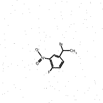 CC(Br)c1ccc(F)c([N+](=O)[O-])c1